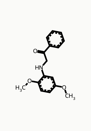 COc1ccc(OC)c(NCC(=O)c2ccccc2)c1